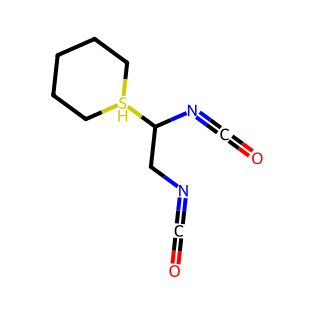 O=C=NCC(N=C=O)[SH]1CCCCC1